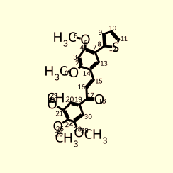 COc1cc(OC)c(-c2cccs2)cc1C=CC(=O)c1cc(OC)c(OC)c(OC)c1